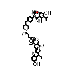 CCc1c2c(nc3ccc(O)cc13)-c1cc3c(c(=O)n1C2)COC(=O)C3(CC)OC(=O)CCC(=O)N1CCC(Cc2ccc(N(C(=N)c3cc(C(C)C)c(O)cc3O)C(N)=O)cc2)CC1